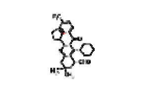 CC1(C)Cc2nc(C3CCCC3)c(C(=O)c3ccc(C(F)(F)F)cc3)c(C3CCCCC3)c2C(C=O)C1